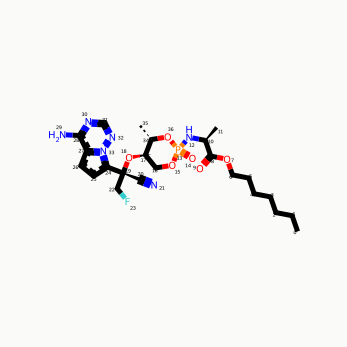 CCCCCCCOC(=O)[C@H](C)NP1(=O)OC[C@@H](O[C@](C#N)(CF)c2ccc3c(N)ncnn23)[C@H](C)O1